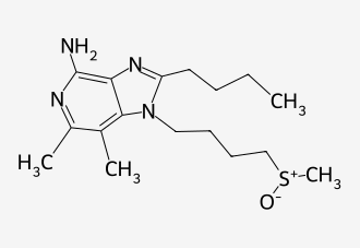 CCCCc1nc2c(N)nc(C)c(C)c2n1CCCC[S+](C)[O-]